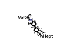 CCCCCCCC(=O)N(C)Cc1cccc(-c2ccc(/C=C/C(=O)OC)c(F)c2)c1